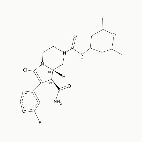 CC1CC(NC(=O)N2CCN3C(Cl)=C(c4cccc(F)c4)[C@H](C(N)=O)[C@H]3C2)CC(C)O1